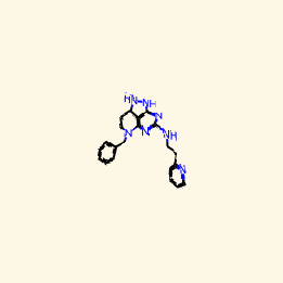 c1ccc(CN2CCC3NNc4nc(NCCc5ccccn5)nc2c43)cc1